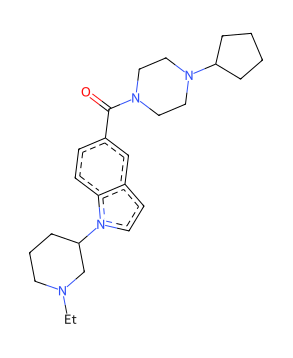 CCN1CCCC(n2ccc3cc(C(=O)N4CCN(C5CCCC5)CC4)ccc32)C1